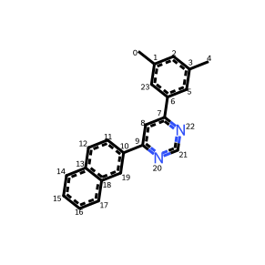 Cc1cc(C)cc(-c2cc(-c3ccc4ccccc4c3)ncn2)c1